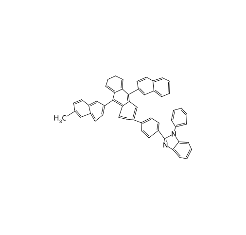 Cc1ccc2cc(-c3c4c(c(-c5ccc6ccccc6c5)c5cc(-c6ccc(-c7nc8ccccc8n7-c7ccccc7)cc6)ccc35)=CCCC=4)ccc2c1